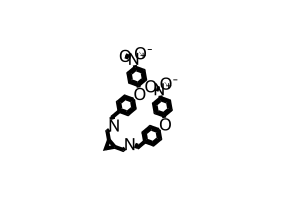 O=[N+]([O-])c1ccc(Oc2ccc(C=NCC3CC3CN=Cc3ccc(Oc4ccc([N+](=O)[O-])cc4)cc3)cc2)cc1